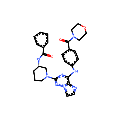 O=C(N[C@@H]1CCCN(c2nc(Nc3ccc(C(=O)N4CCOCC4)cc3)c3nccn3n2)C1)c1ccccc1